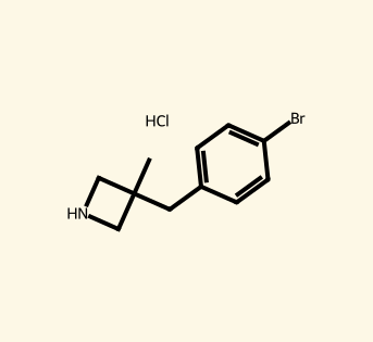 CC1(Cc2ccc(Br)cc2)CNC1.Cl